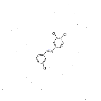 Clc1cccc(/C=N/c2ccc(Cl)c(Cl)c2)c1